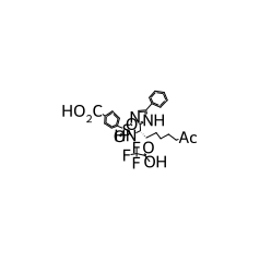 CC(=O)CCCCC[C@H](NS(=O)(=O)c1ccc(C(=O)O)cc1)c1ncc(-c2ccccc2)[nH]1.O=C(O)C(F)(F)F